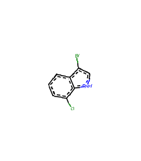 Clc1cccc2c(Br)c[nH]c12